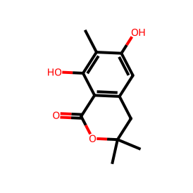 Cc1c(O)cc2c(c1O)C(=O)OC(C)(C)C2